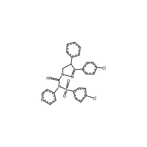 N=C(N1CC(c2ccccc2)C(c2ccc(Cl)cc2)=N1)N(c1ccncc1)S(=O)(=O)c1ccc(Cl)cc1